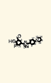 O=Cc1cc(-c2nc(-c3ccc(N4CCCC4)cc3)ns2)cc(F)c1O